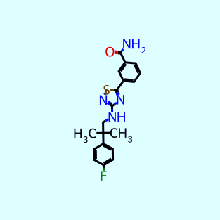 CC(C)(CNc1nsc(-c2cccc(C(N)=O)c2)n1)c1ccc(F)cc1